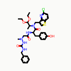 CCOC(OCC)C(C)N(Cc1csc2ccc(Cl)nc12)C(=O)C(Cc1ccc(O)cc1)NC(=O)CN(C)NC(=O)NCc1ccccc1